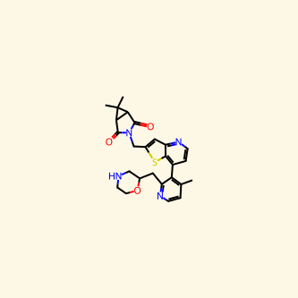 Cc1ccnc(CC2CNCCO2)c1-c1ccnc2cc(CN3C(=O)C4C(C3=O)C4(C)C)sc12